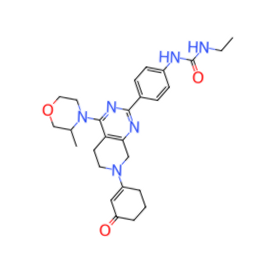 CCNC(=O)Nc1ccc(-c2nc3c(c(N4CCOCC4C)n2)CCN(C2=CC(=O)CCC2)C3)cc1